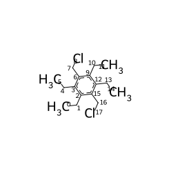 CCc1c(CC)c(CCl)c(CC)c(CC)c1CCl